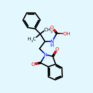 CC(C)(c1ccccc1)C(CN1C(=O)c2ccccc2C1=O)NC(=O)O